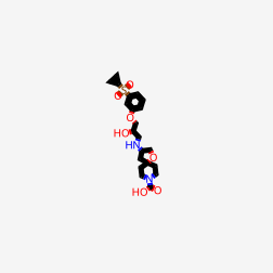 O=C(O)N1CCC2(CC1)CC(NCC(O)COc1cccc(S(=O)(=O)C3CC3)c1)CO2